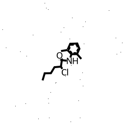 CCCCC(Cl)C(=O)Nc1c(C)cccc1C